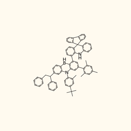 Cc1cc(C)c(-c2cc(-c3cccc4c3Nc3ccccc3C43c4ccccc4-c4ccccc43)c3c(c2)N(c2ccc(C(C)(C)C)cc2C)c2cc(C(Cc4ccccc4)c4ccccc4)ccc2B3)c(C)c1